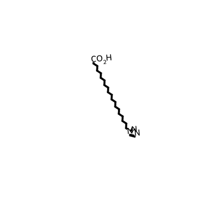 O=C(O)CCCCCCCCCCCCCCCCCCCn1ccnn1